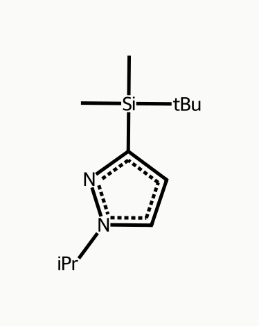 CC(C)n1ccc([Si](C)(C)C(C)(C)C)n1